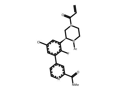 C=CC(=O)N1CCN(C(C)=O)[C@@H](c2cc(Cl)cc(-c3ccnc(C(=O)NC)c3)c2F)C1